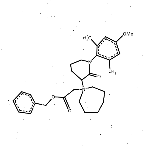 COc1cc(C)c(N2CCCC([N+]3(CC(=O)OCc4ccccc4)CCCCCC3)C2=O)c(C)c1